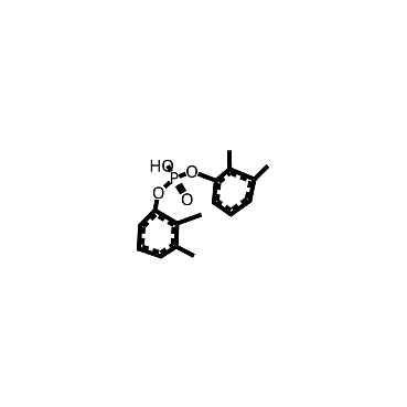 Cc1cccc(OP(=O)(O)Oc2cccc(C)c2C)c1C